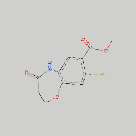 COC(=O)c1cc2c(cc1F)OCCC(=O)N2